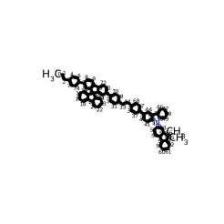 C/C=C/c1ccc(-c2ccc3c(c2)C2(c4ccccc4-c4ccccc42)c2cc(-c4ccc(/C=C/c5ccc(-c6ccc7c(c6)c6ccccc6n7C6=CC7C(C=C6)c6ccccc6C7(C)C)cc5)cc4)ccc2-3)cc1